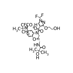 CC(C)(O)C(=O)NC[C@H]1CN(S(=O)(=O)c2cn(C(F)F)nc2OCCO)c2cc(N(C(=O)O)C(C)(C)C(F)(F)F)ccc2O1